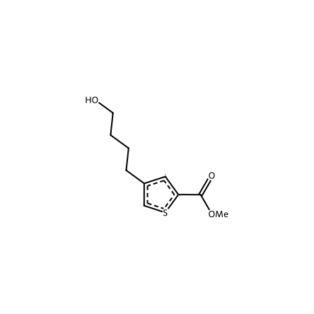 COC(=O)c1[c]c(CCCCO)cs1